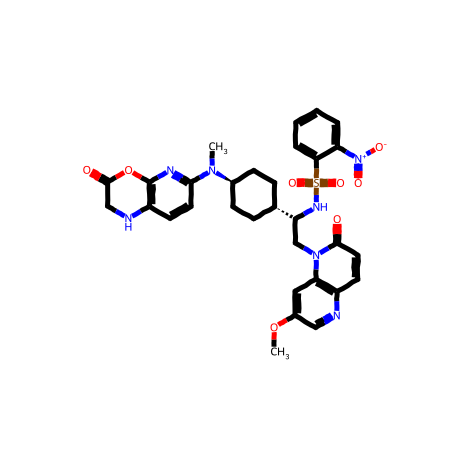 COc1cnc2ccc(=O)n(CC(NS(=O)(=O)c3ccccc3[N+](=O)[O-])[C@H]3CC[C@H](N(C)c4ccc5c(n4)OC(=O)CN5)CC3)c2c1